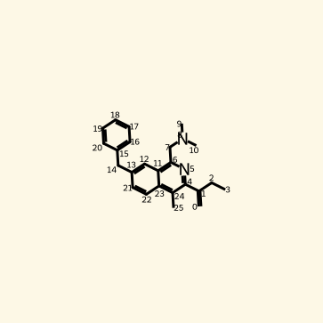 C=C(CC)c1nc(CN(C)C)c2cc(Cc3ccccc3)ccc2c1C